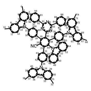 Cc1ccc2c(c1)c1cc(C)ccc1n2-c1ccc(-c2c(C#N)c(-c3ccc(-n4c5ccc(C)cc5c5cc(C)ccc54)cc3)c(-n3c4ccccc4c4ccccc43)c(-c3ccc(-n4c5ccc(C)cc5c5cc(C)ccc54)cc3)c2-c2nc(-c3ccccc3)nc(-c3ccccc3)n2)cc1